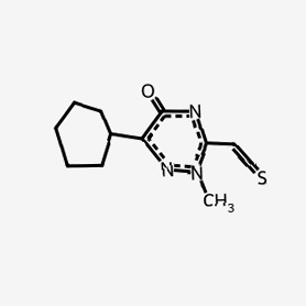 Cn1nc(C2CCCCC2)c(=O)nc1C=S